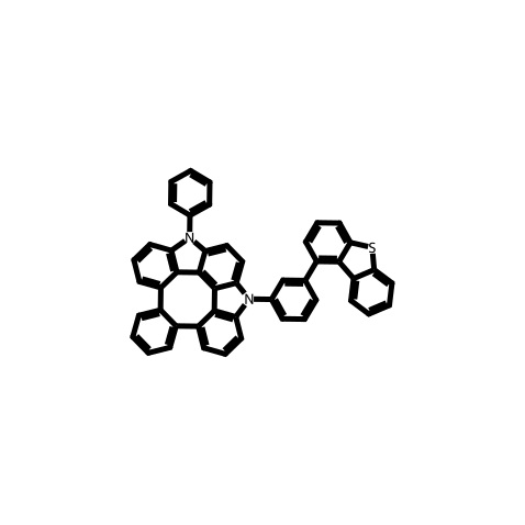 c1ccc(-n2c3cccc4c5ccccc5c5cccc6c5c5c(c43)c2ccc5n6-c2cccc(-c3cccc4sc5ccccc5c34)c2)cc1